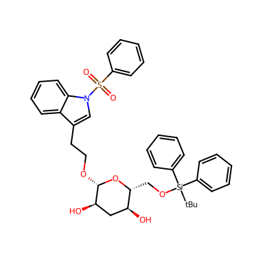 CC(C)(C)[Si](OC[C@H]1O[C@@H](OCCc2cn(S(=O)(=O)c3ccccc3)c3ccccc23)[C@H](O)C[C@@H]1O)(c1ccccc1)c1ccccc1